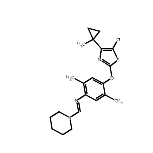 Cc1cc(Oc2nc(C3(C)CC3)c(Cl)s2)c(C)cc1N=CN1CCCCC1